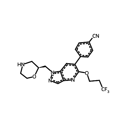 N#Cc1ccc(-c2cc3c(cnn3C[C@@H]3CNCCO3)nc2OCCC(F)(F)F)cc1